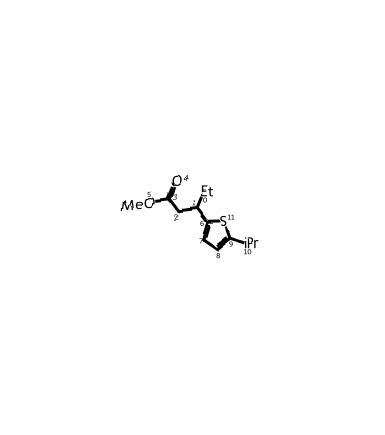 CCC(CC(=O)OC)c1ccc(C(C)C)s1